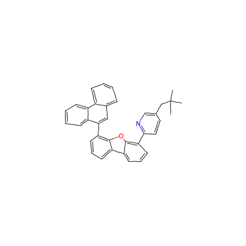 CC(C)(C)Cc1ccc(-c2cccc3c2oc2c(-c4cc5ccccc5c5ccccc45)cccc23)nc1